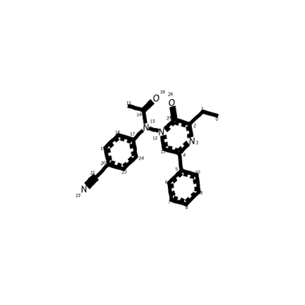 CCc1nc(-c2ccccc2)cn(N(C(C)=O)c2ccc(C#N)cc2)c1=O